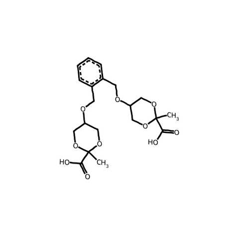 CC1(C(=O)O)OCC(OCc2ccccc2COC2COC(C)(C(=O)O)OC2)CO1